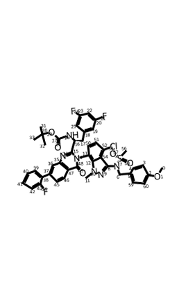 COc1ccc(CN(c2nn(C)c3c(-n4c([C@H](Cc5cc(F)cc(F)c5)NC(=O)OC(C)(C)C)nc5cc(-c6ccccc6F)ccc5c4=O)ccc(Cl)c23)S(C)(=O)=O)cc1